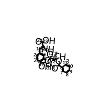 CC(C)(OC(=O)c1ccccc1)C(=O)Oc1cc(C[C@H](N)C(=O)O)ccc1O